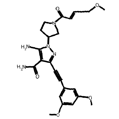 COCC=CC(=O)N1CCC(n2nc(C#Cc3cc(OC)cc(OC)c3)c(C(N)=O)c2N)C1